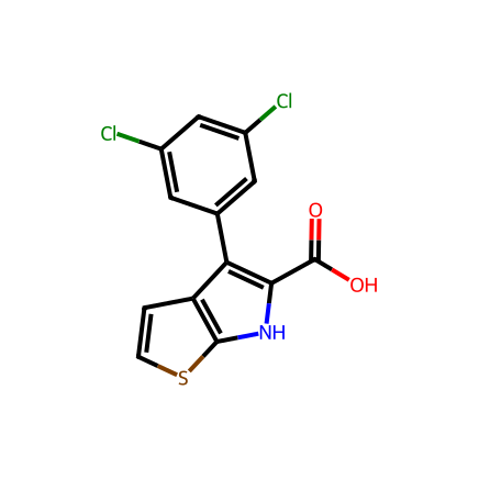 O=C(O)c1[nH]c2sccc2c1-c1cc(Cl)cc(Cl)c1